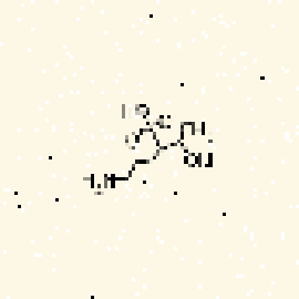 [CH2]C(O)C(CCCN)S(=O)(=O)O